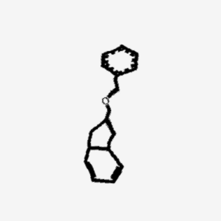 C1=CC2CC(OCc3ccccc3)CC2C=C1